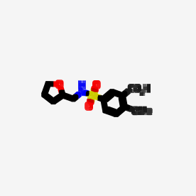 COc1ccc(S(=O)(=O)NCC2CCCO2)cc1C(=O)O